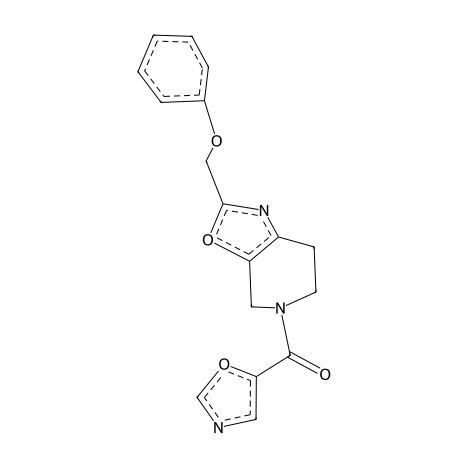 O=C(c1cnco1)N1CCc2nc(COc3ccccc3)oc2C1